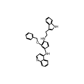 c1ccc(COc2cc(Nc3ccnc4ccccc34)ccc2NCCc2c[nH]c3ccccc23)cc1